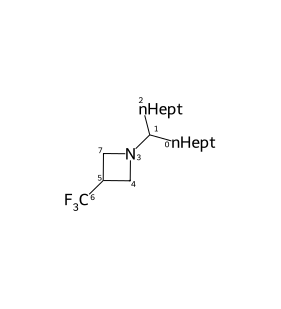 CCCCCCCC(CCCCCCC)N1CC(C(F)(F)F)C1